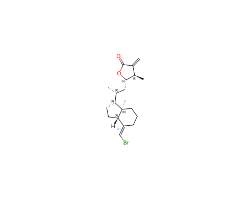 C=C1C(=O)O[C@@H](C[C@@H](C)[C@H]2CC[C@H]3/C(=C/Br)CCC[C@]23C)[C@@H]1C